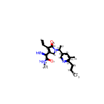 C=CC1=C(C(=N)C(=O)NCC)CN(C(C)c2cnc(CCC(F)(F)F)c(C)c2)C1=O